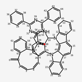 C=C1/C=C\C=C/CN(C2=CC(n3c4c(c5ccc6c7ccccc7n(-c7cccc(-c8nc(-c9ccccc9)nc(-c9ccccc9)n8)c7)c6c53)C=CCC4)NC=C2)c2ccccc21